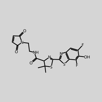 CC1(C)SC(c2nc3cc(F)c(O)c(F)c3s2)=NC1C(=O)NCCN1C(=O)C=CC1=O